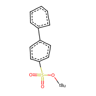 CC(C)(C)OS(=O)(=O)c1ccc(-c2ccccc2)cc1